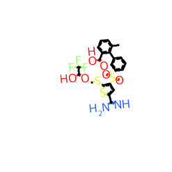 CSc1sc(C(=N)N)cc1S(=O)(=O)c1cccc(-c2c(C)cccc2C(=O)O)c1.O=C(O)C(F)(F)F